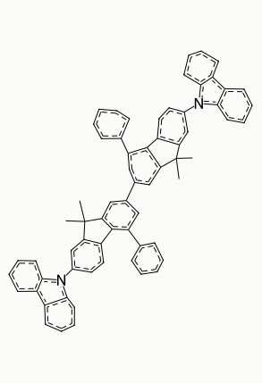 CC1(C)c2cc(-n3c4ccccc4c4ccccc43)ccc2-c2c(-c3ccccc3)cc(-c3cc(-c4ccccc4)c4c(c3)C(C)(C)c3cc(-n5c6ccccc6c6ccccc65)ccc3-4)cc21